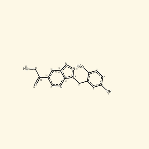 CC(C)COc1ccc(O)cc1Cn1ncc2cc(C(=O)CO)ccc21